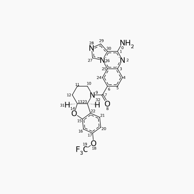 Nc1nc2ccc(C(=O)N3CCC[C@@H]4Oc5cc(OC(F)(F)F)ccc5[C@@H]43)cc2n2cncc12